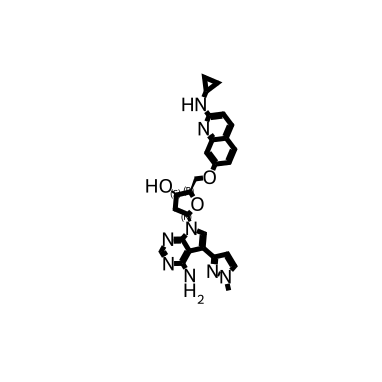 Cn1ccc(-c2cn([C@H]3C[C@H](O)[C@@H](COc4ccc5ccc(NC6CC6)nc5c4)O3)c3ncnc(N)c23)n1